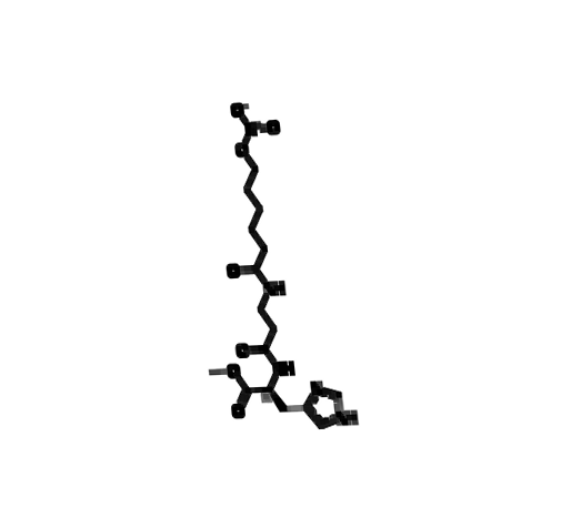 COC(=O)[C@H](Cc1c[nH]cn1)NC(=O)CCNC(=O)CCCCCO[N+](=O)[O-]